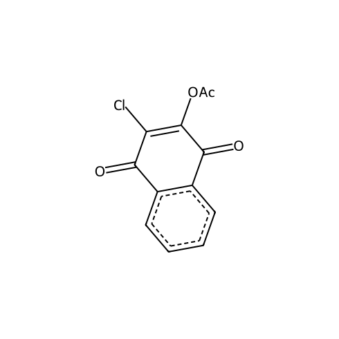 CC(=O)OC1=C(Cl)C(=O)c2ccccc2C1=O